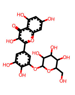 O=c1c(O)c(-c2cc(O)c(O)c(OC3OC(CO)C(O)C(O)C3O)c2)oc2cc(O)cc(O)c12